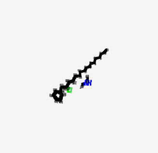 CCCCCCCCCCCCCCCC(Cl)Cc1ccccc1.CNC